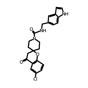 O=C1CC2(CCN(C(=O)NCc3ccc4[nH]ccc4c3)CC2)Oc2ccc(Cl)cc21